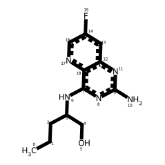 CCCC(CO)Nc1nc(N)nc2cc(F)cnc12